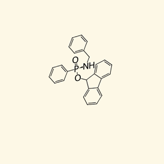 O=[P@](NCc1ccccc1)(OC1c2ccccc2-c2ccccc21)c1ccccc1